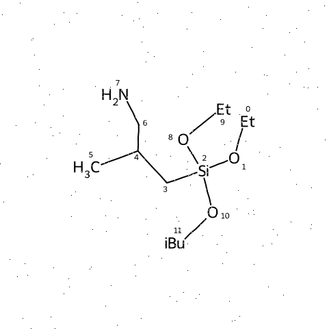 CCO[Si](CC(C)CN)(OCC)OC(C)CC